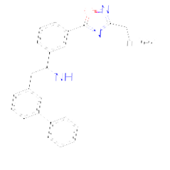 CCCCCCCCCCCc1noc(-c2cccc(C([NH])Cc3cccc(-c4ccccc4)c3)c2)n1